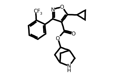 O=C(OC1CC2CC1CN2)c1c(-c2ccccc2C(F)(F)F)noc1C1CC1